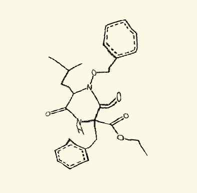 CCOC(=O)C1(Cc2ccccc2)NC(=O)C(CC(C)C)N(OCc2ccccc2)C1=O